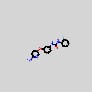 Nc1ccc(Oc2cccc(NC(=O)Nc3ccccc3F)c2)cn1